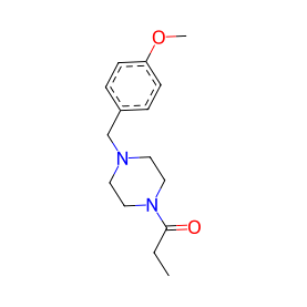 CCC(=O)N1CCN(Cc2ccc(OC)cc2)CC1